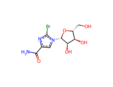 NC(=O)c1cn([C@@H]2O[C@H](CO)[C@@H](O)[C@H]2O)c(Br)n1